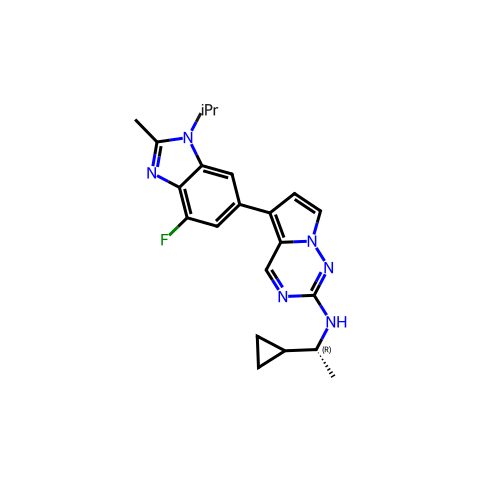 Cc1nc2c(F)cc(-c3ccn4nc(N[C@H](C)C5CC5)ncc34)cc2n1C(C)C